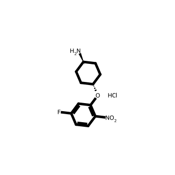 Cl.N[C@H]1CC[C@H](Oc2cc(F)ccc2[N+](=O)[O-])CC1